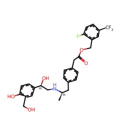 C[C@H](Cc1ccc(CC(=O)OCc2cc(C(F)(F)F)ccc2F)cc1)NC[C@H](O)c1ccc(O)c(CO)c1